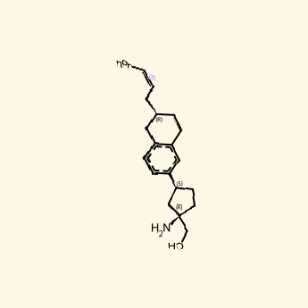 CCC/C=C\C[C@H]1CCc2cc([C@H]3CC[C@](N)(CO)C3)ccc2C1